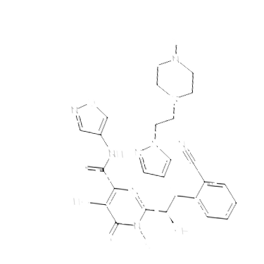 C[C@@H](c1nc(C(=O)Nc2cnoc2)c(O)c(=O)n1C)[C@H](c1cnn(CCN2CCN(C)CC2)c1)c1ccccc1C#N